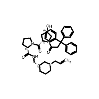 C=CCN1CCC[C@H](CNC(=O)[C@H]2CCCN2C(=O)[C@@H]2C[C@@H](O)CN2C(=O)CC(c2ccccc2)(c2ccccc2)c2ccccc2)C1